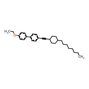 CCCCCCCCC1CCC(C#Cc2ccc(-c3ccc(OCC)cc3)cc2)CC1